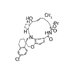 CC(C)[C@H]1C[C@@H](C)/C=C/[C@H](O)[C@@H]2CC[C@H]2CN2C[C@@]3(CCCc4cc(Cl)ccc43)COc3ccc(cc32)C(=O)NS1(=O)=O